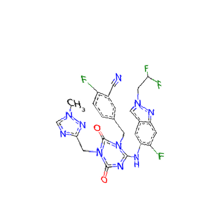 Cn1cnc(Cn2c(=O)nc(Nc3cc4cn(CC(F)F)nc4cc3F)n(Cc3ccc(F)c(C#N)c3)c2=O)n1